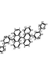 c1ccc2c(-c3c4ccccc4c(-c4cncc(-c5nccs5)c4)c4ccccc34)c3ccccc3c(-c3cncc(-c4nccs4)c3)c2c1